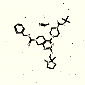 CN1CCCC1(C)COc1nc2c(c(N3CCN(C(=O)OC(C)(C)C)[C@@H](CC#N)C3)n1)CCN(C(=O)OCc1ccccc1)C2